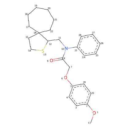 COc1ccc(OCC(=O)N(CC2SCCC23CCCCCC3)c2ccccc2)cc1